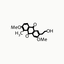 COc1cc2c(cc1CCO)C(=O)c1ccc(OC)c(C)c1C2=O